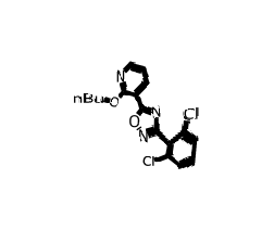 CCCCOc1ncccc1-c1nc(-c2c(Cl)cccc2Cl)no1